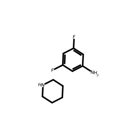 C1CCNCC1.Nc1cc(F)cc(F)c1